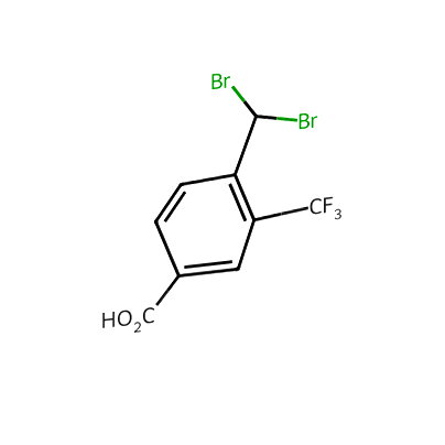 O=C(O)c1ccc(C(Br)Br)c(C(F)(F)F)c1